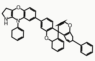 C1=CCCC(N2C3=C(CCN3)Oc3ccc(-c4ccc5c(c4)OC4CC=CC=C4C54C5=C(CC(c6ccccc6)C=C5)OC5=C4CCCC5)cc32)=C1